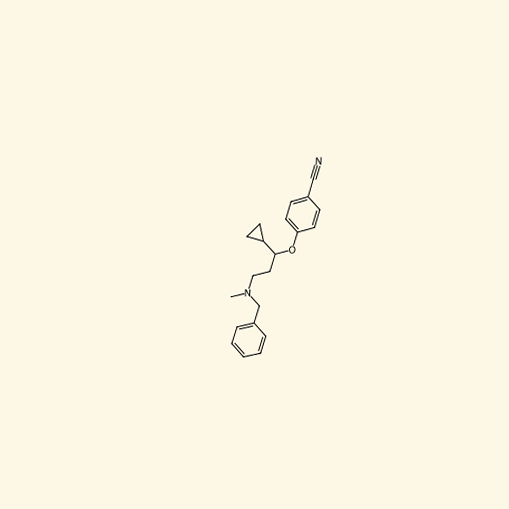 CN(CCC(Oc1ccc(C#N)cc1)C1CC1)Cc1ccccc1